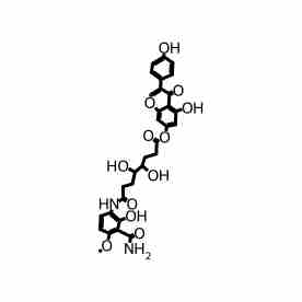 COc1ccc(NC(=O)CCC(O)C(O)CCC(=O)Oc2cc(O)c3c(=O)c(-c4ccc(O)cc4)coc3c2)c(O)c1C(N)=O